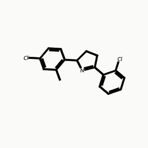 Cc1cc(Cl)ccc1C1CCC(c2ccccc2Cl)=N1